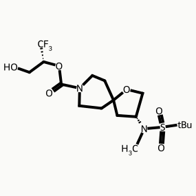 CN([C@H]1COC2(CCN(C(=O)O[C@H](CO)C(F)(F)F)CC2)C1)S(=O)(=O)C(C)(C)C